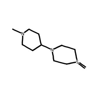 C=S1CCN(C2CCN(C)CC2)CC1